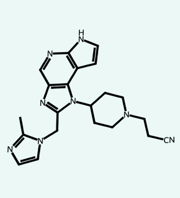 Cc1nccn1Cc1nc2cnc3[nH]ccc3c2n1C1CCN(CCC#N)CC1